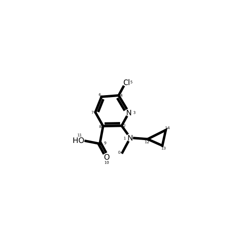 CN(c1nc(Cl)ccc1C(=O)O)C1CC1